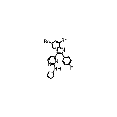 Fc1ccc(-c2nc3c(Br)cc(Br)cn3c2-c2ccnc(NC3CCCC3)n2)cc1